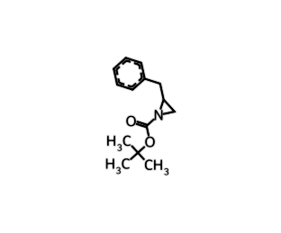 CC(C)(C)OC(=O)N1CC1Cc1ccccc1